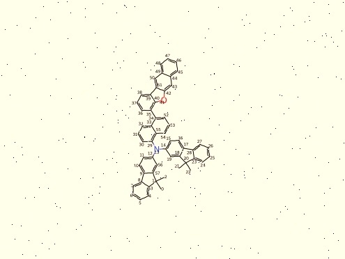 CC1(C)c2ccccc2-c2ccc(N(c3ccc4c(c3)C(C)(C)c3ccccc3-4)c3cccc4c(-c5cccc6c5oc5cc7ccccc7cc56)cccc34)cc21